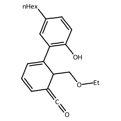 CCCCCCc1ccc(O)c(C2=CC=CC(=C=O)C2COCC)c1